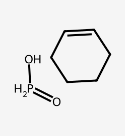 C1=CCCCC1.O=[PH2]O